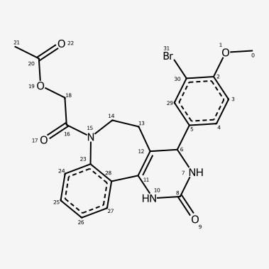 COc1ccc(C2NC(=O)NC3=C2CCN(C(=O)COC(C)=O)c2ccccc23)cc1Br